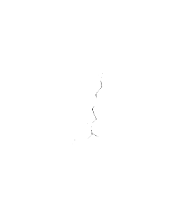 CSC(C)NCCSCCNC(C)(C)C